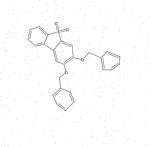 O=S1(=O)c2ccccc2-c2cc(OCc3ccccc3)c(OCc3ccccc3)cc21